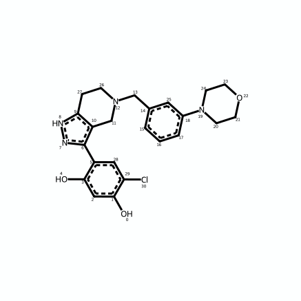 Oc1cc(O)c(-c2n[nH]c3c2CN(Cc2cccc(N4CCOCC4)c2)CC3)cc1Cl